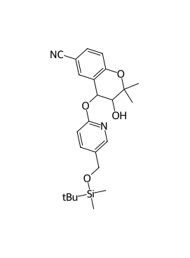 CC1(C)Oc2ccc(C#N)cc2C(Oc2ccc(CO[Si](C)(C)C(C)(C)C)cn2)C1O